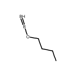 B=BOCCCC